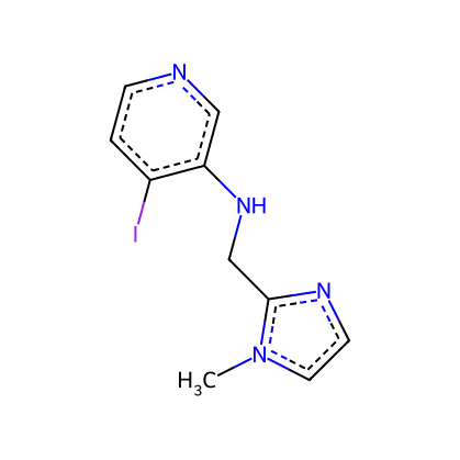 Cn1ccnc1CNc1cnccc1I